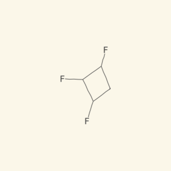 FC1CC(F)C1F